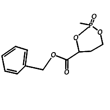 CP1(=O)OCCC(C(=O)OCc2ccccc2)O1